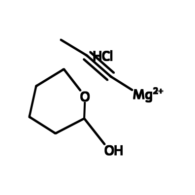 CC#[C][Mg+2].Cl.OC1CCCCO1